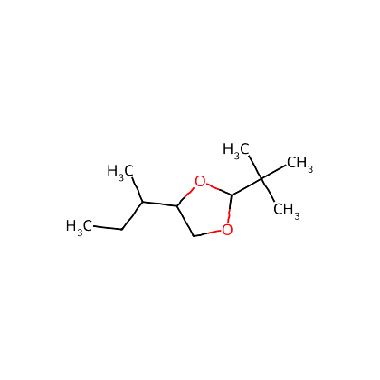 CCC(C)C1COC(C(C)(C)C)O1